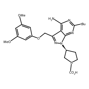 COc1cc(OC)cc(OCc2nn([C@H]3CCN(C(=O)O)C3)c3nc(C(C)(C)C)nc(N)c23)c1